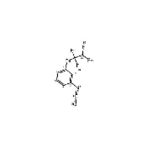 O=C=Nc1cccc(OC(F)(F)C(F)F)c1